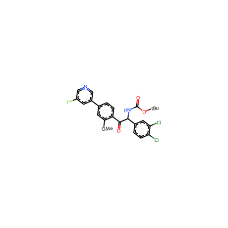 COc1cc(-c2cncc(F)c2)ccc1C(=O)C(NC(=O)OC(C)(C)C)c1ccc(Cl)c(Cl)c1